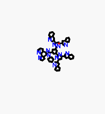 c1ccc(-n2c(-c3cc(-c4nc(-c5cnc6ccccc6c5)cc(-c5cnc6ccccc6c5)n4)cc(-c4nc(-c5cnc6ccccc6c5)cc(-c5cnc6ccccc6c5)n4)c3)nc3c4cccnc4c4ncccc4c32)cc1